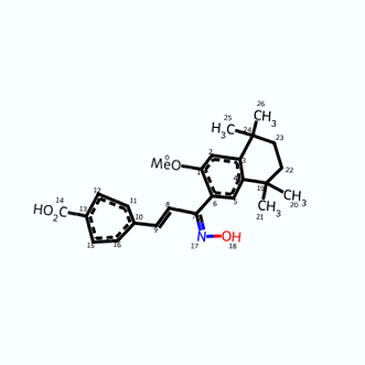 COc1cc2c(cc1C(/C=C/c1ccc(C(=O)O)cc1)=N\O)C(C)(C)CCC2(C)C